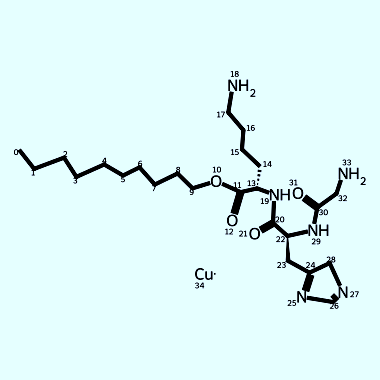 CCCCCCCCCCOC(=O)[C@H](CCCCN)NC(=O)[C@H](CC1=NC=NC1)NC(=O)CN.[Cu]